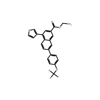 CCOC(=O)c1cc(-c2ccsc2)c2ccc(-c3ccc(OC(F)(F)F)cc3)cc2c1